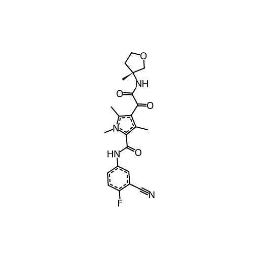 Cc1c(C(=O)C(=O)N[C@]2(C)CCOC2)c(C)n(C)c1C(=O)Nc1ccc(F)c(C#N)c1